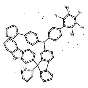 [2H]c1c([2H])c([2H])c(-c2ccc(N(c3ccc(-c4ccccc4)cc3)c3ccc4c(c3)C(c3ccccc3)(c3ccc5c(c3)oc3ccccc35)c3ccccc3-4)cc2)c([2H])c1[2H]